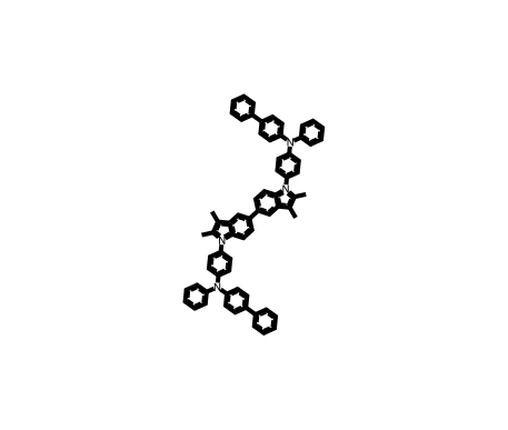 Cc1c(C)n(-c2ccc(N(c3ccccc3)c3ccc(-c4ccccc4)cc3)cc2)c2ccc(-c3ccc4c(c3)c(C)c(C)n4-c3ccc(N(c4ccccc4)c4ccc(-c5ccccc5)cc4)cc3)cc12